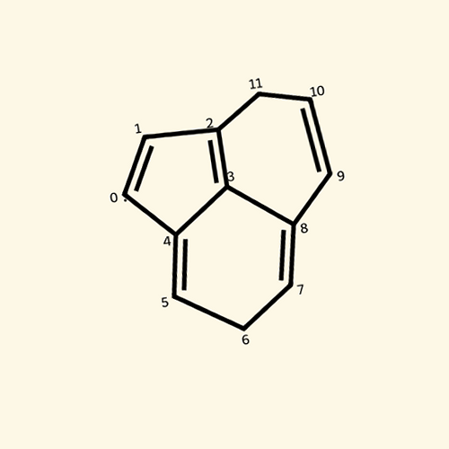 [C]1=CC2=C3C1=CCC=C3C=CC2